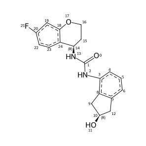 O=C(Nc1cccc2c1C[C@H](O)C2)N[C@@H]1CCOc2cc(F)ccc21